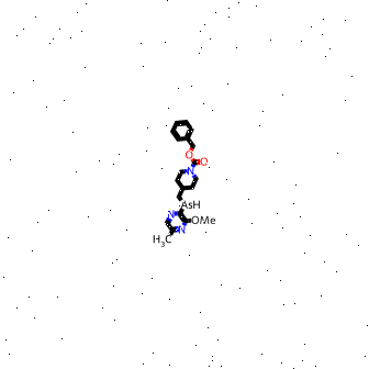 COc1nc(C)cnc1[AsH]CC1CCN(C(=O)OCc2ccccc2)CC1